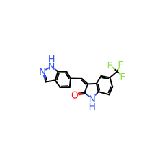 O=C1Nc2ccc(C(F)(F)F)cc2/C1=C/c1ccc2cn[nH]c2c1